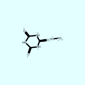 O=[N+]([O-])O.O=c1[nH]c(=O)[nH]c(=O)[nH]1